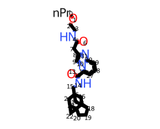 CCCOCCNC(=O)Cc1cn2c(C(=O)NCC34CC5CCC6(CC6C3)C5C4)cccc2n1